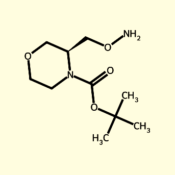 CC(C)(C)OC(=O)N1CCOC[C@H]1CON